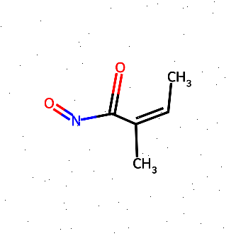 CC=C(C)C(=O)N=O